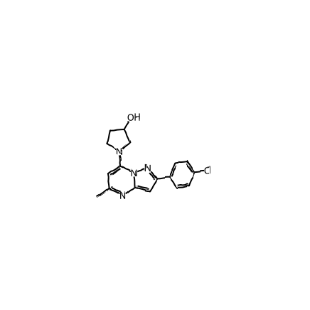 Cc1cc(N2CCC(O)C2)n2nc(-c3ccc(Cl)cc3)cc2n1